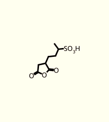 CC(CCC1CC(=O)OC1=O)S(=O)(=O)O